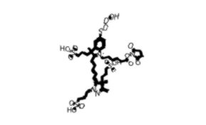 CC1=NN(CCCS(=O)(=O)O)/C(=C/C=C/C=C/C2=[N+](CCCCCC(=O)ON3C(=O)CCC3=O)c3ccc(SOOO)cc3C2(C)CCCS(=O)(=O)O)C1(C)CCCS(=O)(=O)O